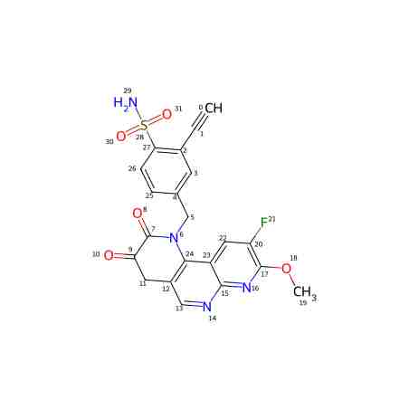 C#Cc1cc(CN2C(=O)C(=O)Cc3cnc4nc(OC)c(F)cc4c32)ccc1S(N)(=O)=O